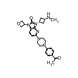 CN[C@H]1C[C@H](n2c(=O)n(C3COC3)c3ccc(N4CCN(c5ccc(C(C)=O)cc5)CC4)nc32)C1